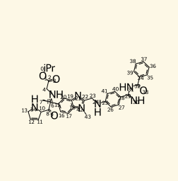 CC(C)OC(=O)CN[C@@](C)(C(=O)C1C=CCN1)c1ccc2c(c1)nc(CNc1ccc(C(=N)NC(=O)c3ccccc3)cc1)n2C